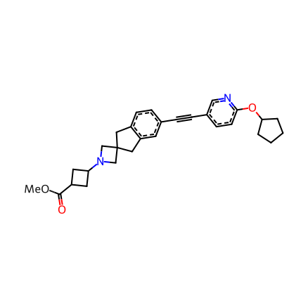 COC(=O)C1CC(N2CC3(Cc4ccc(C#Cc5ccc(OC6CCCC6)nc5)cc4C3)C2)C1